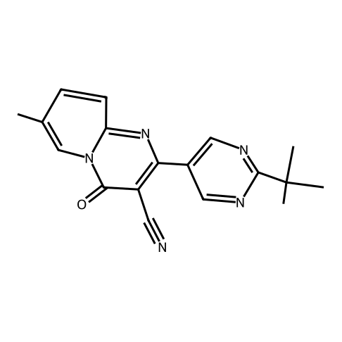 Cc1ccc2nc(-c3cnc(C(C)(C)C)nc3)c(C#N)c(=O)n2c1